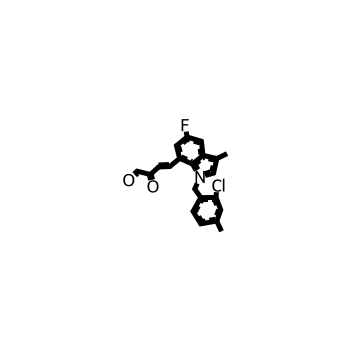 Cc1ccc(Cn2cc(C)c3cc(F)cc(/C=C/C(=O)C=O)c32)c(Cl)c1